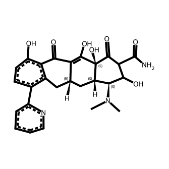 CN(C)[C@@H]1C(O)C(C(N)=O)C(=O)[C@@]2(O)C(O)=C3C(=O)c4c(O)ccc(-c5ccccn5)c4C[C@H]3C[C@@H]12